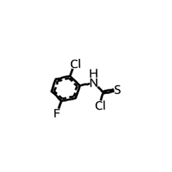 Fc1ccc(Cl)c(NC(=S)Cl)c1